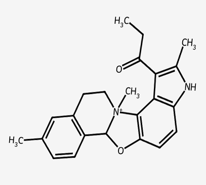 CCC(=O)c1c(C)[nH]c2ccc3c(c12)[N+]1(C)CCc2cc(C)ccc2C1O3